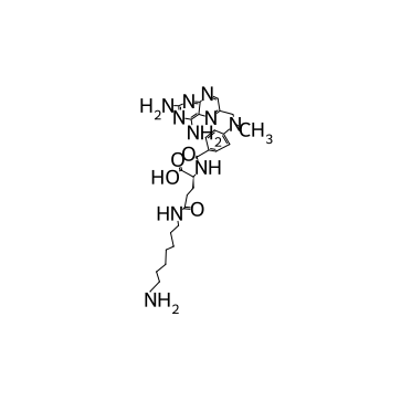 CN(Cc1cnc2nc(N)nc(N)c2n1)c1ccc(C(=O)N[C@@H](CCC(=O)NCCCCCCCCN)C(=O)O)cc1